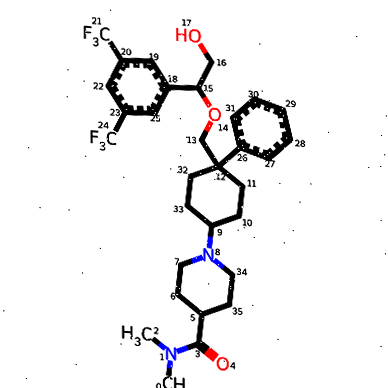 CN(C)C(=O)C1CCN(C2CCC(COC(CO)c3cc(C(F)(F)F)cc(C(F)(F)F)c3)(c3ccccc3)CC2)CC1